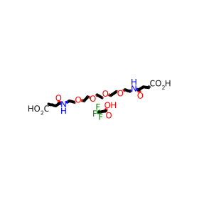 O=C(O)C(F)(F)F.O=C(O)CCC(=O)NCCOCCOCCOCCOCCNC(=O)CCC(=O)O